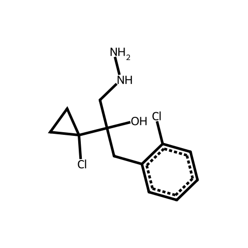 NNCC(O)(Cc1ccccc1Cl)C1(Cl)CC1